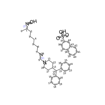 C/C(CCCCCC/N=C/N1CCC(C(c2ccccc2)c2ccccc2)CC1)=N/O.O=S(=O)(O)c1ccc2ccccc2c1